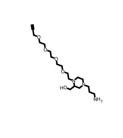 C#CCOCCOCCOCCOCCN1CCN(CCCN)CC1CO